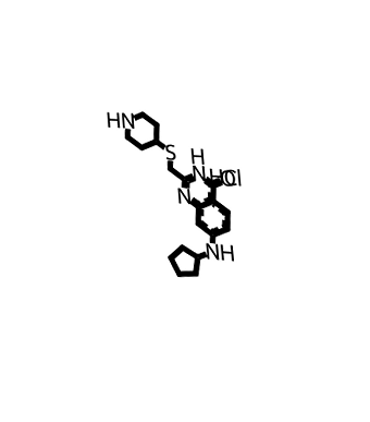 Cl.O=c1[nH]c(CSC2CCNCC2)nc2cc(NC3CCCC3)ccc12